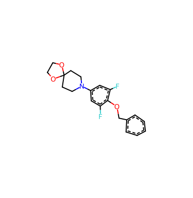 Fc1cc(N2CCC3(CC2)OCCO3)cc(F)c1OCc1ccccc1